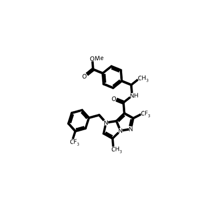 COC(=O)c1ccc(C(C)NC(=O)c2c(C(F)(F)F)nn3c(C)cn(Cc4cccc(C(F)(F)F)c4)c23)cc1